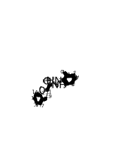 Cc1ccccc1NNC(=O)COc1ccccc1C